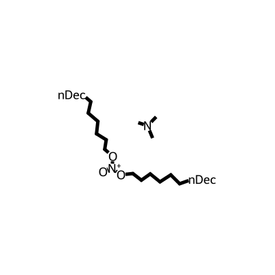 CCCCCCCCCCCCCCCCO[N+](=O)OCCCCCCCCCCCCCCCC.CN(C)C